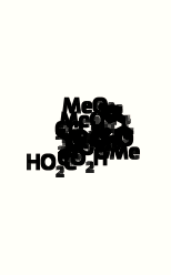 COc1ccc(C[C@H]2COC(=O)[C@@H]2Cc2ccc(O[C@@H]3OC[C@H](CC(=O)O)[C@H](CC(=O)O)[C@@H]3CC(=O)O)c(OC)c2)cc1OC